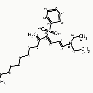 C=C(CCCCCCCCC)/C(=C/C=C/N(CC)CC)S(=O)(=O)c1ccccc1